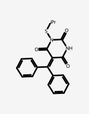 CC(C)SN1C(=O)NC(=O)C(=C(c2ccccc2)c2ccccc2)C1=O